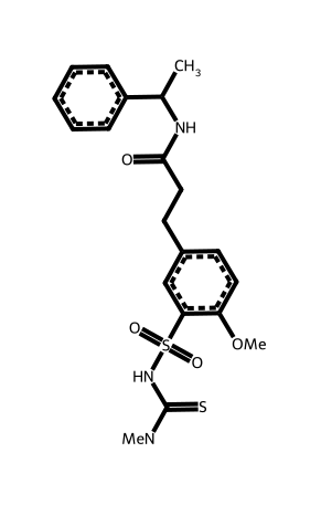 CNC(=S)NS(=O)(=O)c1cc(CCC(=O)NC(C)c2ccccc2)ccc1OC